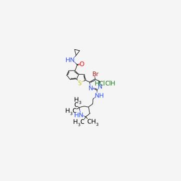 CC1(C)CC(CCNc2ncc(Br)c(-c3cc4c(C(=O)NC5CC5)cccc4s3)n2)CC(C)(C)N1.Cl.Cl